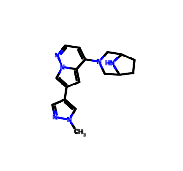 Cn1cc(-c2cc3c(N4CC5CCC(C4)N5)ccnn3c2)cn1